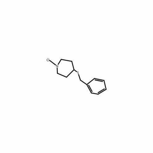 ClN1CCC(SCc2ccccc2)CC1